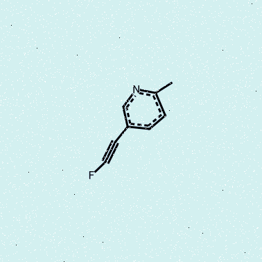 Cc1ccc(C#CF)cn1